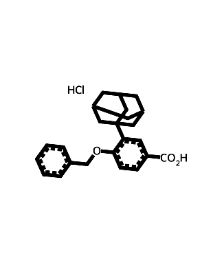 Cl.O=C(O)c1ccc(OCc2ccccc2)c(C23CC4CC(CC(C4)C2)C3)c1